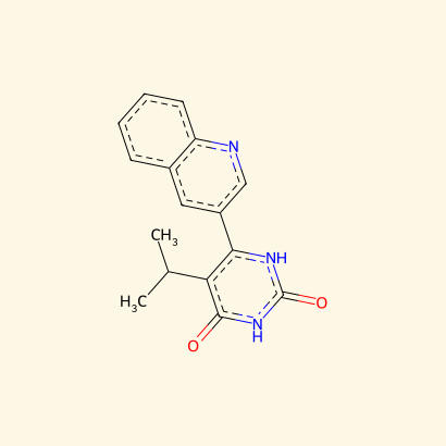 CC(C)c1c(-c2cnc3ccccc3c2)[nH]c(=O)[nH]c1=O